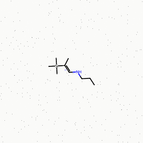 CCCN/C=C(\C)[Si](C)(C)C